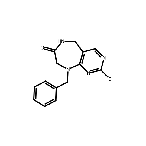 O=C1CN(Cc2ccccc2)c2nc(Cl)ncc2CN1